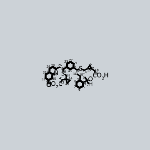 CC(C)(O)c1ccccc1CC[C@@H](SCC1CC1CC(=O)O)c1cccc([C@@H](Cc2ccc3ccc(Cl)cc3n2)SCC2(CC(=O)O)CC2)c1